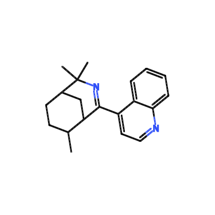 CC1CCC2CC1C(c1ccnc3ccccc13)=NC2(C)C